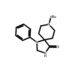 CCCCN1CCC2(CC1)C(=O)NCN2c1ccccc1